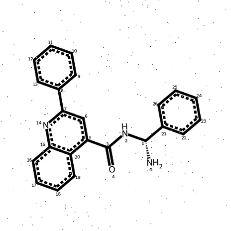 N[C@H](NC(=O)c1cc(-c2ccccc2)nc2ccccc12)c1ccccc1